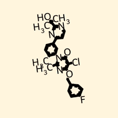 Cc1ccc(-c2ccnc(C(C)(C)O)n2)cc1-n1c(C)nc(OCc2ccc(F)cc2)c(Cl)c1=O